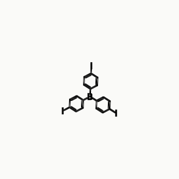 Ic1ccc(B(c2ccc(I)cc2)c2ccc(I)cc2)cc1